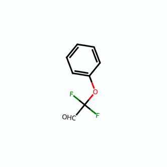 O=CC(F)(F)Oc1ccccc1